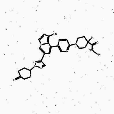 CCC1(C(=O)NC(C)C)CCN(c2ccc(-c3cc(-c4cnn(C5CCC(=O)CC5)c4)cn4ccc(C#N)c34)cn2)CC1